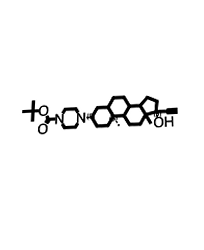 C#C[C@]1(O)CCC2C3CCC4C[C@@H](N5CCN(C(=O)OC(C)(C)C)CC5)CC[C@]4(C)C3CCC21C